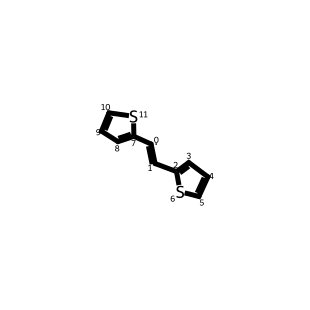 [C](=C\c1cccs1)/c1cccs1